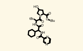 CC(C)(C)OC(=O)C1CC(O)CN1C(=O)C(NC(=O)C(NC(=O)c1cnccn1)C1CCCCC1)C(C)(C)C